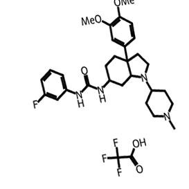 COc1ccc(C23CCC(NC(=O)Nc4cccc(F)c4)CC2N(C2CCN(C)CC2)CC3)cc1OC.O=C(O)C(F)(F)F